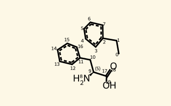 CCc1ccccc1.N[C@@H](Cc1ccccc1)C(=O)O